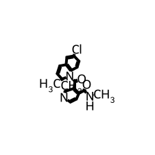 CNC(=O)c1ccncc1C(=O)N1c2ccc(Cl)cc2C=CC1(C)C